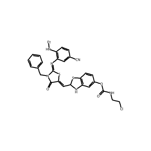 CCNc1ccc(C#N)cc1N=C1SC(=CC2Nc3cc(OC(=O)NCCCl)ccc3S2)C(=O)N1Cc1ccccc1